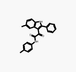 Cc1ccc(NC(=O)C(=O)c2c(-c3ccccc3)[nH]c3ccc(C)cc23)cc1